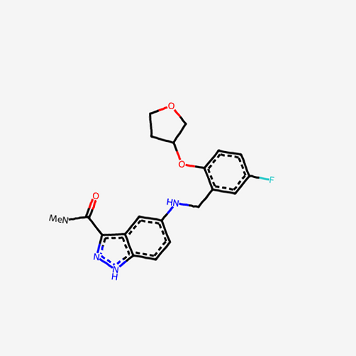 CNC(=O)c1n[nH]c2ccc(NCc3cc(F)ccc3OC3CCOC3)cc12